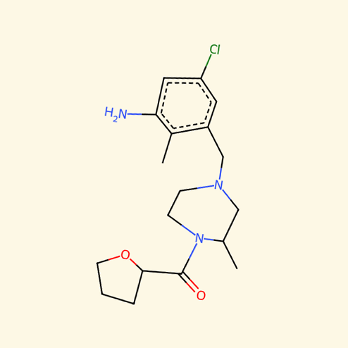 Cc1c(N)cc(Cl)cc1CN1CCN(C(=O)C2CCCO2)C(C)C1